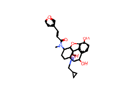 CN(C(=O)/C=C/c1ccoc1)C1CCC2(O)C3C(O)c4ccc(O)c5c4C2(CCN3CC2CC2)C1O5